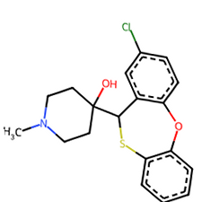 CN1CCC(O)(C2Sc3ccccc3Oc3ccc(Cl)cc32)CC1